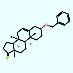 C[C@]12CC[C@H](OCc3ccccc3)CC1=CC[C@@H]1[C@@H]2CC[C@]2(C)C(=S)CC[C@@H]12